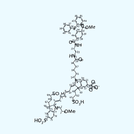 COCC[N+]1=C(/C=C/C=C/C=C/C=C2/N(CCCCCC(=O)NCCNC(=O)c3ccc(C(=O)OC)c(P(c4ccccc4)c4ccccc4)c3)c3ccc(S(=O)(=O)[O-])cc3C2(C)CCCS(=O)(=O)O)C(C)(CCCS(=O)(=O)O)c2cc(S(=O)(=O)O)ccc21